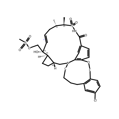 C[C@@H]1[C@@H](C)C/C=C/[C@](O)(COS(C)(=O)=O)[C@@H]2CC[C@H]2CN2CCCCc3cc(Cl)ccc3COc3ccc(cc32)C(=O)NS1(=O)=O